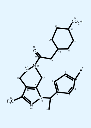 CC(c1ccc(F)cc1)n1nc(C(F)(F)F)c2c1CN(C(=O)CC1CCC(C(=O)O)CC1)CC2